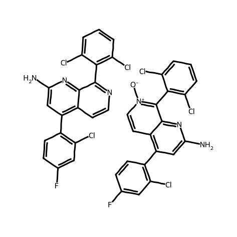 Nc1cc(-c2ccc(F)cc2Cl)c2cc[n+]([O-])c(-c3c(Cl)cccc3Cl)c2n1.Nc1cc(-c2ccc(F)cc2Cl)c2ccnc(-c3c(Cl)cccc3Cl)c2n1